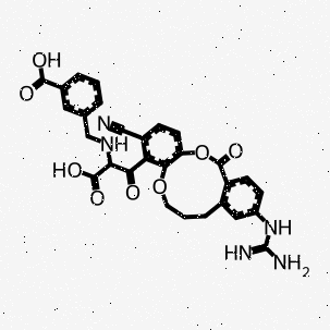 N#Cc1ccc2c(c1C(=O)C(NCc1cccc(C(=O)O)c1)C(=O)O)OCCCc1cc(NC(=N)N)ccc1C(=O)O2